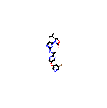 CC(Nc1nccc(N2C(=O)OC[C@@H]2C(C)C)n1)c1ncc(Oc2cncc(Br)c2)cn1